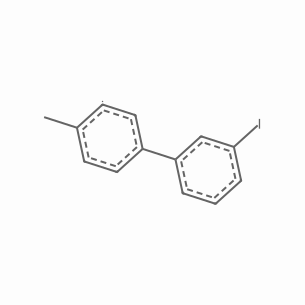 Cc1[c]cc(-c2cccc(I)c2)cc1